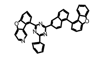 c1ccc(-c2nc(-c3ccc4c(-c5cccc6oc7ccccc7c56)cccc4c3)nc(-c3cccc4oc5ccncc5c34)n2)cc1